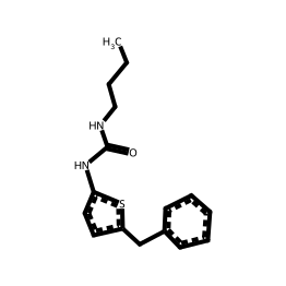 CCCCNC(=O)Nc1ccc(Cc2ccccc2)s1